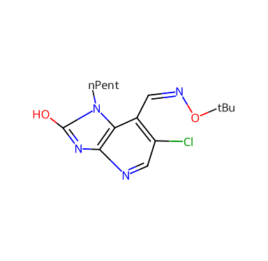 CCCCCn1c(O)nc2ncc(Cl)c(/C=N\OC(C)(C)C)c21